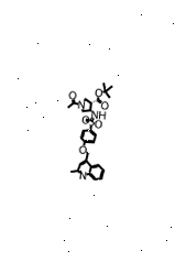 CC(=O)N1C[C@H](C(=O)OC(C)(C)C)[C@H](NS(=O)(=O)c2ccc(OCc3cc(C)nc4ccccc34)cc2)C1